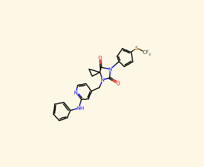 O=C1N(c2ccc(SC(F)(F)F)cc2)C(=O)C2(CC2)N1Cc1ccnc(Nc2ccccc2)c1